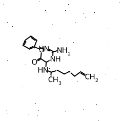 C=CCCCCC(C)NC(NC(=N)N)C(=O)Oc1ccccc1